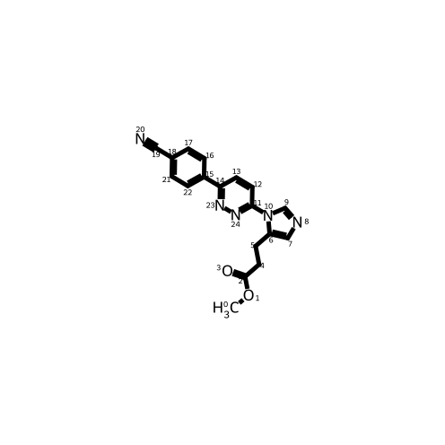 COC(=O)CCc1cncn1-c1ccc(-c2ccc(C#N)cc2)nn1